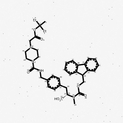 CCC(C)(CC)OC(=O)CN1CCN(C(=O)NCc2ccc(C[C@@H](C(=O)O)N(C)C(=O)OCC3c4ccccc4-c4ccccc43)cc2)CC1